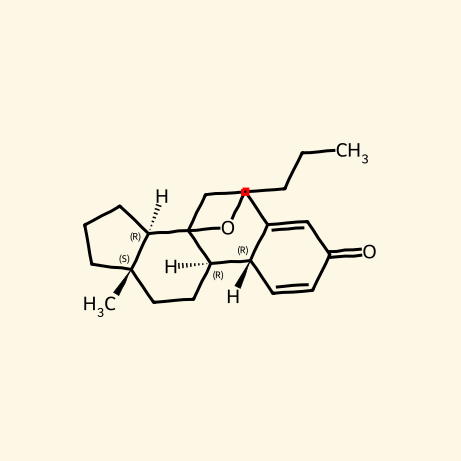 CCCCOC12CCC3=CC(=O)C=C[C@@H]3[C@H]1CC[C@]1(C)CCC[C@@H]21